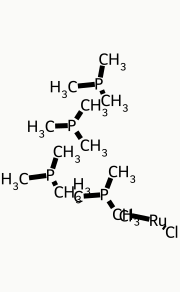 CP(C)C.CP(C)C.CP(C)C.CP(C)C.[Cl][Ru][Cl]